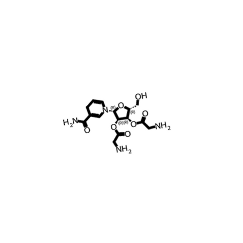 NCC(=O)O[C@@H]1[C@H](OC(=O)CN)[C@@H](CO)O[C@H]1N1C=CCC(C(N)=O)=C1